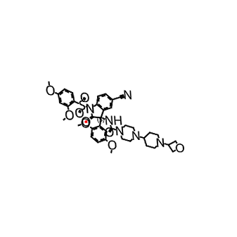 COc1ccc(S(=O)(=O)N2C(=O)[C@@](NC(=O)N3CCN(C4CCN(C5COC5)CC4)CC3)(c3cc(OC)ccc3OC)c3cc(C#N)ccc32)c(OC)c1